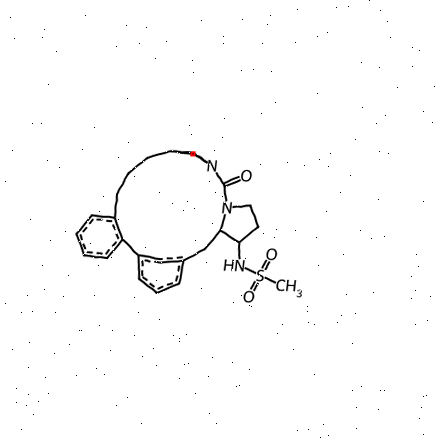 CS(=O)(=O)NC1CCN2C(=O)N3CC(CCCc4ccccc4-c4cccc(c4)CC12)C3